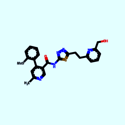 COc1ccccc1-c1cc(C)ncc1C(=O)Nc1nnc(CCc2cccc(CO)n2)s1